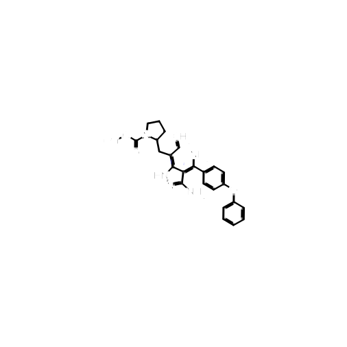 C=C/C(CC1CCCN1C(=O)OC(C)(C)C)=c1/[nH]nc(N)/c1=C(/N)c1ccc(Oc2ccccc2)cc1